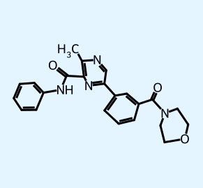 Cc1ncc(-c2cccc(C(=O)N3CCOCC3)c2)nc1C(=O)Nc1ccccc1